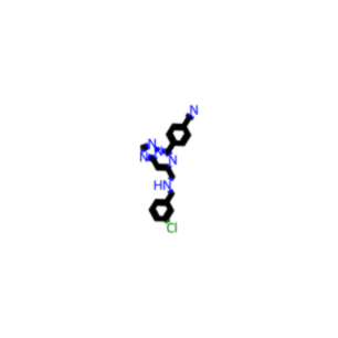 N#Cc1ccc(-c2nc(CNCc3cccc(Cl)c3)cc3ncnn23)cc1